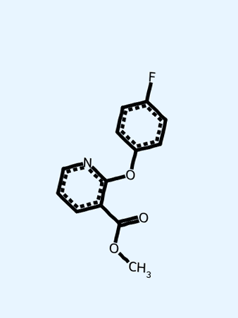 COC(=O)c1cccnc1Oc1ccc(F)cc1